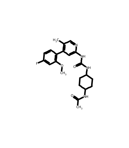 COc1cc(F)ccc1-c1cc(NC(=O)NC2CCC(NC(C)=O)CC2)ncc1C